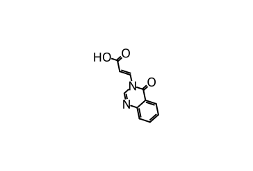 O=C(O)C=Cn1cnc2ccccc2c1=O